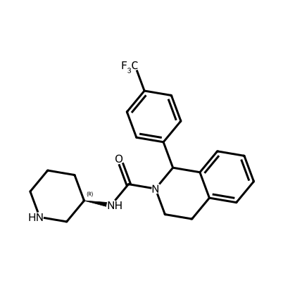 O=C(N[C@@H]1CCCNC1)N1CCc2ccccc2C1c1ccc(C(F)(F)F)cc1